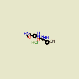 Cl.N#Cc1cccc(-c2cc(C(=O)Nc3ccc(C4CNCCO4)cc3)n[nH]2)c1